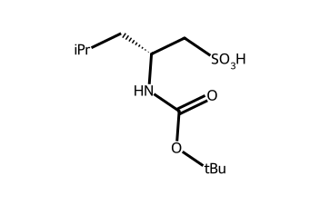 CC(C)C[C@H](CS(=O)(=O)O)NC(=O)OC(C)(C)C